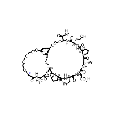 CC(C)C[C@H]1NC(=O)[C@@H]2CCCN2C(=O)[C@@H]2CSCc3cc(cc(c3)OCCCCCCO/N=C/C(=O)N[C@@H](C)C(=O)N2)CSCC(C(N)=O)NC(=O)[C@H](CCO)NC(=O)[C@@H]2CCCN2C(=O)[C@H](C(C)C)NC(=O)[C@H](CC(=O)O)NC1=O